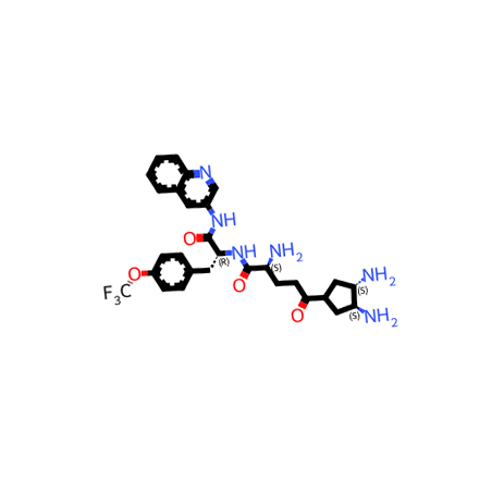 N[C@@H](CCC(=O)C1C[C@H](N)[C@@H](N)C1)C(=O)N[C@H](Cc1ccc(OC(F)(F)F)cc1)C(=O)Nc1cnc2ccccc2c1